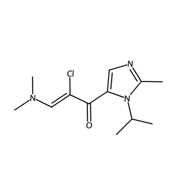 Cc1ncc(C(=O)C(Cl)=CN(C)C)n1C(C)C